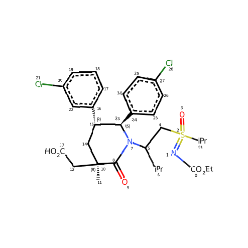 CCOC(=O)N=S(=O)(CC(C(C)C)N1C(=O)[C@@](C)(CC(=O)O)C[C@H](c2cccc(Cl)c2)[C@H]1c1ccc(Cl)cc1)C(C)C